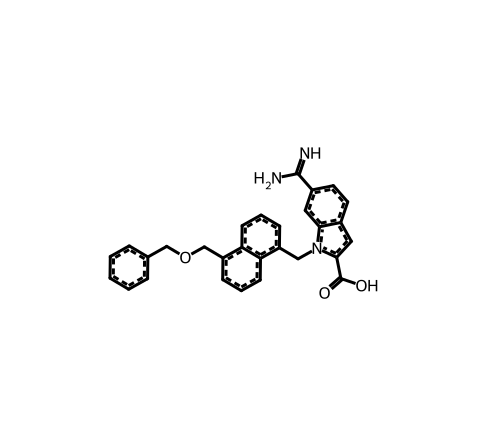 N=C(N)c1ccc2cc(C(=O)O)n(Cc3cccc4c(COCc5ccccc5)cccc34)c2c1